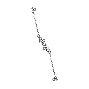 C=C(C)C(=O)OCCCCCCCCCCCCCCCCCCCOc1ccc(C(=O)Oc2ccc(OC(=O)c3ccc(OCCCCCCCCCCCCCCCCCCCOC(=O)C(=C)C)cc3F)cc2)c(F)c1